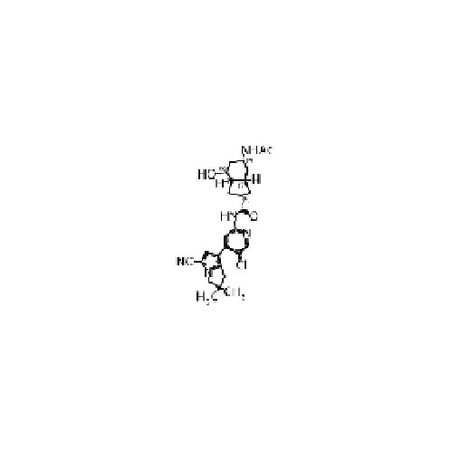 CC(=O)N[C@@H]1C[C@@H]2C[C@H](C(=O)Nc3cc(-c4cc(C#N)n5c4CC(C)(C)C5)c(Cl)cn3)C[C@@H]2[C@@H](O)C1